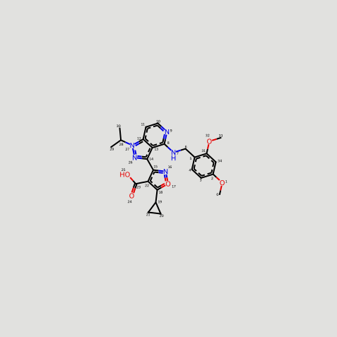 COc1ccc(CNc2nccc3c2c(-c2noc(C4CC4)c2C(=O)O)nn3C(C)C)c(OC)c1